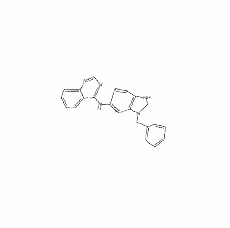 c1ccc(CN2CNc3ccc(Nc4ncnc5ccccc45)cc32)cc1